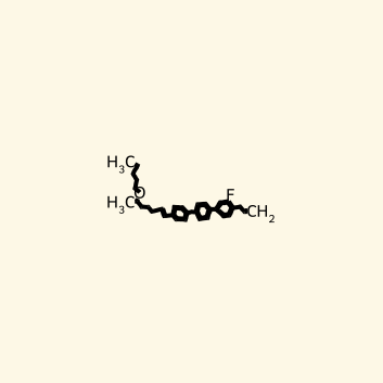 C=CCc1ccc(-c2ccc(-c3ccc(C=CCCCC(C)OCCCCC)cc3)cc2)cc1F